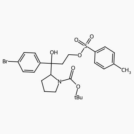 Cc1ccc(S(=O)(=O)OCCC(O)(c2ccc(Br)cc2)C2CCCN2C(=O)OC(C)(C)C)cc1